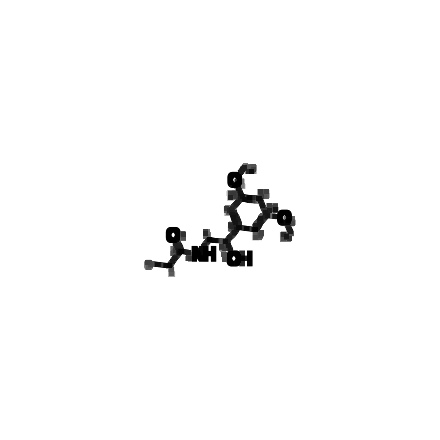 CCC(=O)NCC(O)c1cc(OC)cc(OC)c1